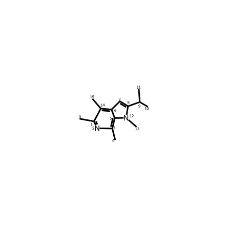 Cc1nc(C)c2c(cc(C(C)C)n2C)c1C